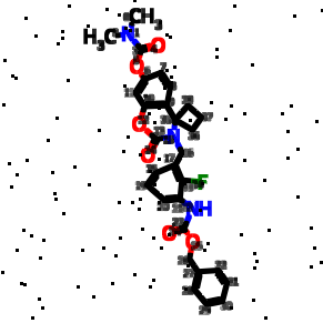 CN(C)C(=O)Oc1ccc2c(c1)OC(=O)N(Cc1cccc(NC(=O)OCc3ccccc3)c1F)C21CCC1